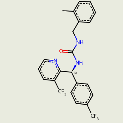 Cc1ccccc1CNC(=O)N[C@@H](c1ccc(C(F)(F)F)cc1)c1ncccc1C(F)(F)F